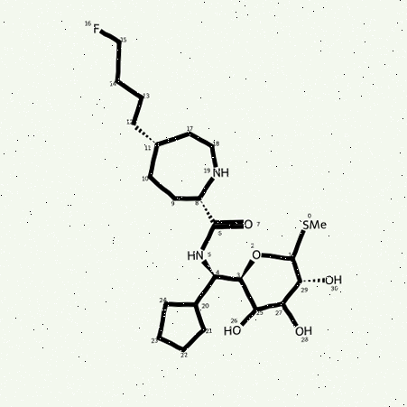 CSC1O[C@H]([C@H](NC(=O)[C@@H]2CC[C@H](CCCCF)CCN2)C2CCCC2)C(O)C(O)[C@H]1O